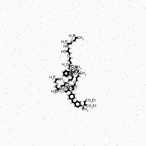 CCOC(=O)CC(C(=O)OCC)N(C)C1CCC(CC2CCC(N(CC(O)COCCC[Si](C)(C)O[Si](C)(C)O[Si](O[SiH2]CCCOCC(O)CNC(C)COCC(C)N)(O[Si](C)(C)CCCOCC(O)CNC(C)COCC(C)N)c3ccccc3)C(CC(=O)OCC)C(=O)OCC)CC2)CC1